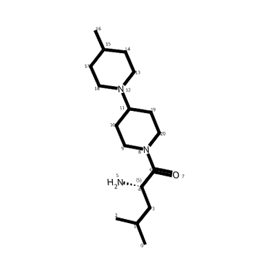 CC(C)C[C@H](N)C(=O)N1CCC(N2CCC(C)CC2)CC1